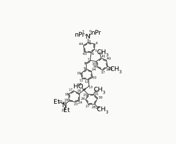 CCCN(CCC)c1ccc(C(=Cc2ccc(CC(O)(c3ccc(N(CC)CC)cc3)c3ccc(C)cc3C)cc2)c2ccc(C)cc2C)cc1